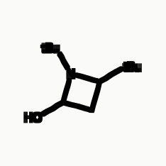 CC(C)(C)C1CC(O)N1C(C)(C)C